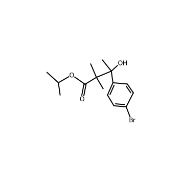 CC(C)OC(=O)C(C)(C)C(C)(O)c1ccc(Br)cc1